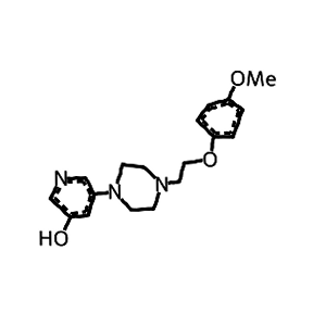 COc1ccc(OCCN2CCN(c3cncc(O)c3)CC2)cc1